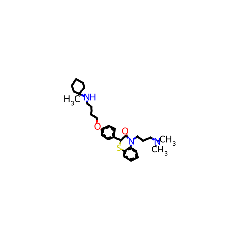 CN(C)CCCN1C(=O)C(c2ccc(OCCCCNC3(C)CCCCC3)cc2)Sc2ccccc21